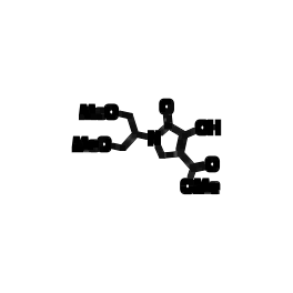 COCC(COC)N1CC(C(=O)OC)=C(O)C1=O